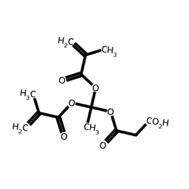 C=C(C)C(=O)OC(C)(OC(=O)CC(=O)O)OC(=O)C(=C)C